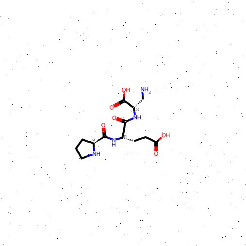 NC[C@H](NC(=O)[C@H](CCC(=O)O)NC(=O)[C@@H]1CCCN1)C(=O)O